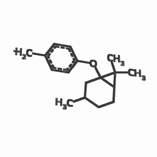 [CH2]c1ccc(OC23CC(C)CCC2C3(C)C)cc1